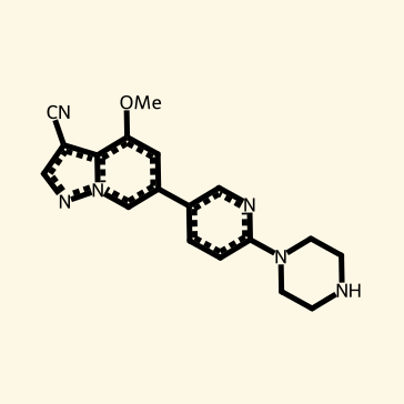 COc1cc(-c2ccc(N3CCNCC3)nc2)cn2ncc(C#N)c12